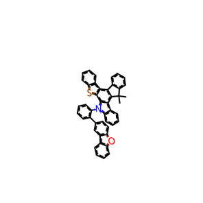 CC1(C)c2ccccc2-c2c1c1c3ccccc3n(-c3ccccc3-c3ccc4oc5ccccc5c4c3)c1c1sc3ccccc3c21